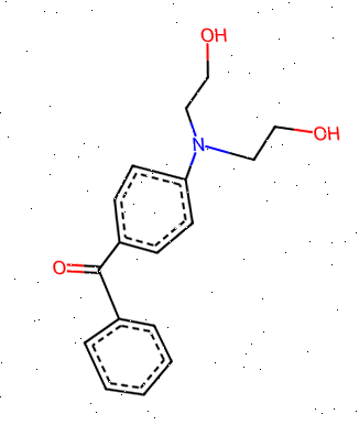 O=C(c1ccccc1)c1ccc(N(CCO)CCO)cc1